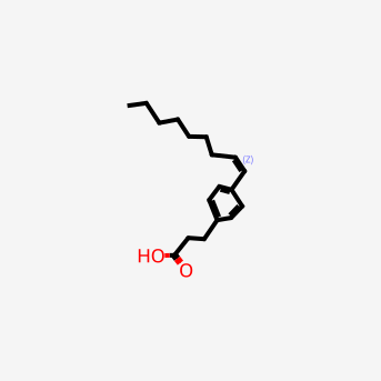 CCCCCCC/C=C\c1ccc(CCC(=O)O)cc1